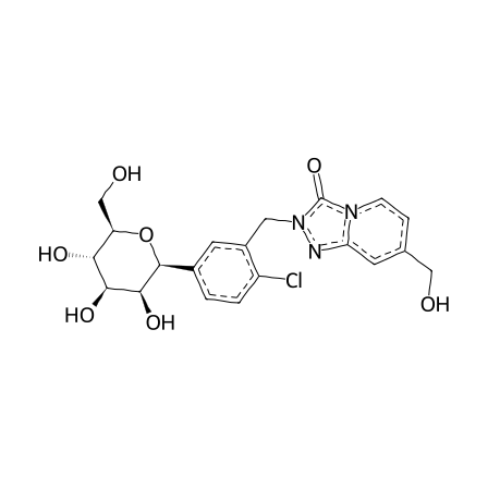 O=c1n(Cc2cc([C@@H]3O[C@H](CO)[C@@H](O)[C@H](O)[C@@H]3O)ccc2Cl)nc2cc(CO)ccn12